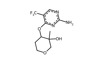 CC1(O)COCCC1Oc1nc(N)ncc1C(F)(F)F